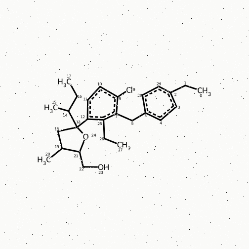 CCc1ccc(Cc2c(Cl)ccc(C3(C(C)CC)CC(C)C(CO)O3)c2CC)cc1